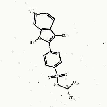 Cc1ccc2c(C#N)c(-c3ccc(S(=O)(=O)N[C@H](C)C(F)(F)F)cn3)n(C(C)C)c2c1